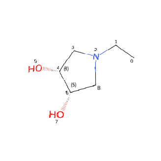 CCN1C[C@@H](O)[C@@H](O)C1